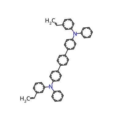 C=Cc1cccc(N(c2ccccc2)c2ccc(-c3ccc(-c4ccc(N(c5ccccc5)c5cccc(C=C)c5)cc4)cc3)cc2)c1